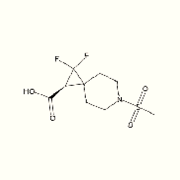 CS(=O)(=O)N1CCC2(CC1)[C@@H](C(=O)O)C2(F)F